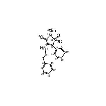 CC(C)(C)N1C(=O)C(NCCc2cc[c]cc2)=C(c2ccccc2)S1(=O)=O